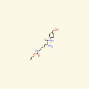 C=CCOC(=O)NCCCCC(N)C(=O)Nc1ccc(CO)cc1